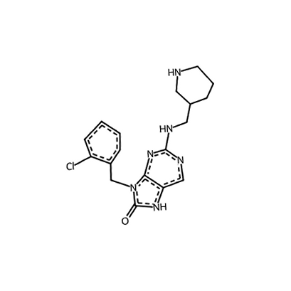 O=c1[nH]c2cnc(NCC3CCCNC3)nc2n1Cc1ccccc1Cl